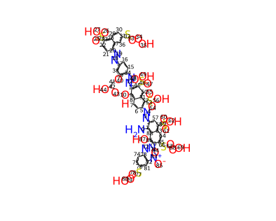 Nc1c(N=Nc2ccc3c(O)c(N=Nc4ccc(N=Nc5ccc(S(=O)(=O)O)c6ccc(SOOO)cc56)cc4OCC(=O)O)c(S(=O)(=O)O)cc3c2S(=O)(=O)O)cc(S(=O)(=O)O)c2cc(SOOO)c(N=Nc3ccc(SOOO)cc3[N+](=O)[O-])c(O)c12